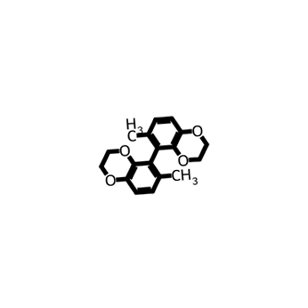 Cc1ccc2c(c1-c1c(C)ccc3c1OCCO3)OCCO2